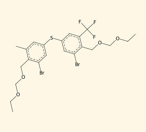 CCOCOCc1c(C)cc(Sc2cc(Br)c(COCOCC)c(C(F)(F)F)c2)cc1Br